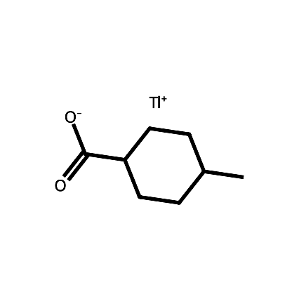 CC1CCC(C(=O)[O-])CC1.[Tl+]